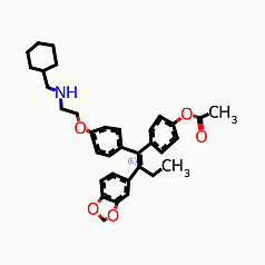 CC/C(=C(/c1ccc(OCCNCC2CCCCC2)cc1)c1ccc(OC(C)=O)cc1)c1ccc2c(c1)OCO2